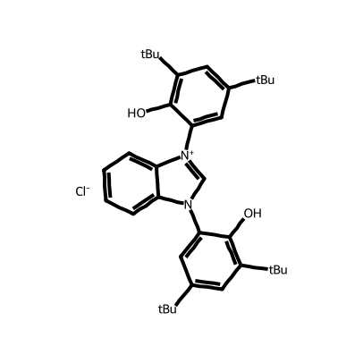 CC(C)(C)c1cc(-n2c[n+](-c3cc(C(C)(C)C)cc(C(C)(C)C)c3O)c3ccccc32)c(O)c(C(C)(C)C)c1.[Cl-]